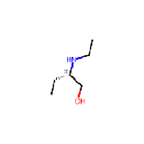 CCN[C@@H](CC)CO